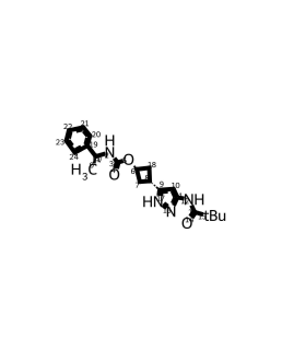 C[C@H](NC(=O)O[C@H]1C[C@@H](c2cc(NC(=O)C(C)(C)C)n[nH]2)C1)c1ccccc1